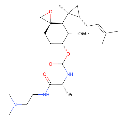 CO[C@@H]1[C@H](OC(=O)N[C@@H](C(=O)NCCN(C)C)C(C)C)CC[C@]2(CO2)[C@H]1[C@@]1(C)C[C@@H]1CC=C(C)C